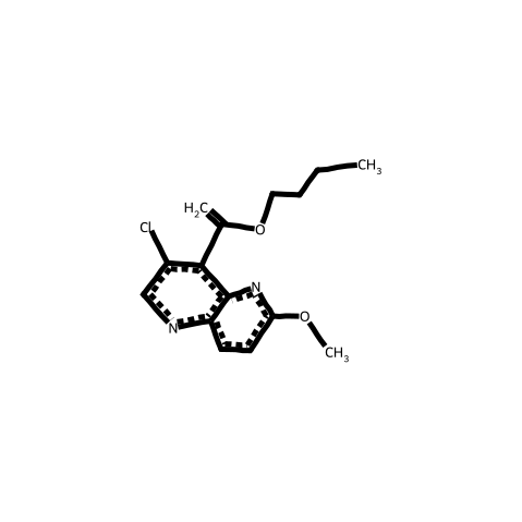 C=C(OCCCC)c1c(Cl)cnc2ccc(OC)nc12